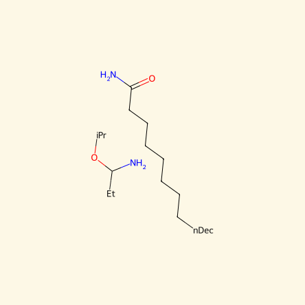 CCC(N)OC(C)C.CCCCCCCCCCCCCCCCCC(N)=O